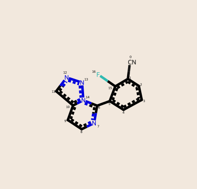 N#Cc1cccc(-c2nccc3cnnn23)c1F